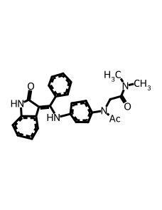 CC(=O)N(CC(=O)N(C)C)c1ccc(NC(=C2C(=O)Nc3ccccc32)c2ccccc2)cc1